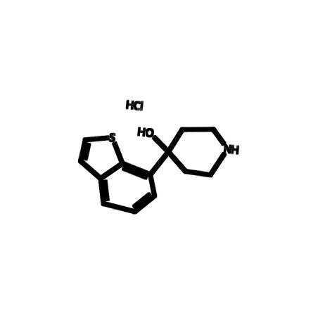 Cl.OC1(c2cccc3ccsc23)CCNCC1